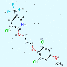 COc1cc(Cl)c(OCCCOc2ncc(C(F)(F)F)cc2Cl)c(Cl)c1